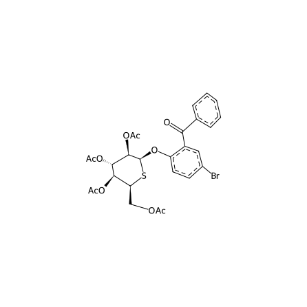 CC(=O)OC[C@@H]1S[C@H](Oc2ccc(Br)cc2C(=O)c2ccccc2)[C@H](OC(C)=O)[C@@H](OC(C)=O)[C@@H]1OC(C)=O